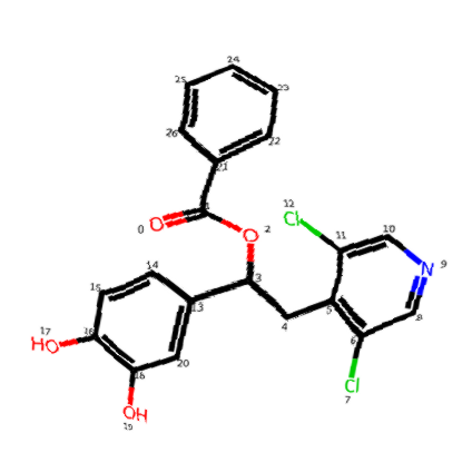 O=C(OC(Cc1c(Cl)cncc1Cl)c1ccc(O)c(O)c1)c1ccccc1